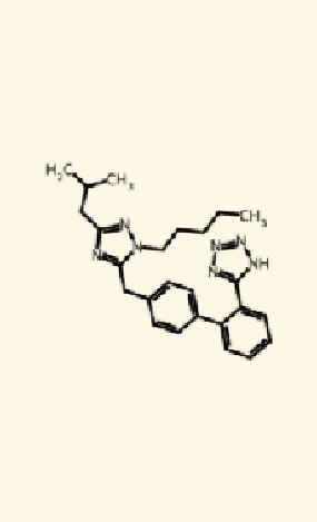 CCCCCn1nc(CC(C)C)nc1Cc1ccc(-c2ccccc2-c2nnn[nH]2)cc1